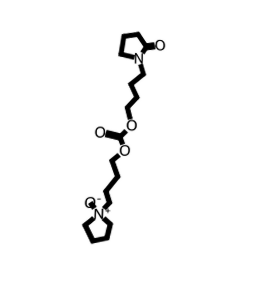 O=C(OCCCCN1CCCC1=O)OCCCC[N+]1([O-])CCCC1